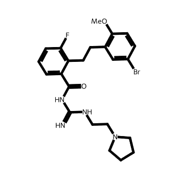 COc1ccc(Br)cc1CCc1c(F)cccc1C(=O)NC(=N)NCCN1CCCC1